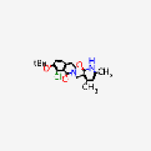 Cc1cc(C)c(CN2CCc3ccc(OC(C)(C)C)c(Cl)c3C2=O)c(=O)[nH]1